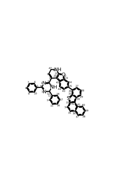 C1=C(C2=NC(c3ccccc3)=NC(c3ccccc3)N2)c2c(oc3cc(-c4cccc5c4sc4ccc6ccccc6c45)ccc23)NC1